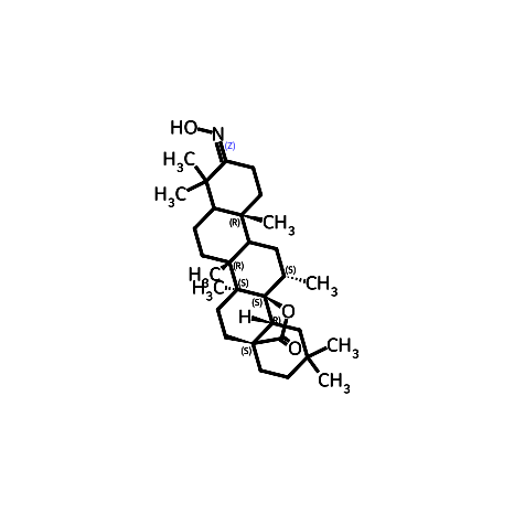 C[C@H]1CC2[C@@]3(C)CC/C(=N/O)C(C)(C)C3CC[C@@]2(C)[C@]2(C)CC[C@@]34CCC(C)(C)C[C@H]3[C@@]12OC4=O